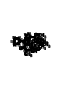 COC(OC)c1ncn2c(-c3cccnc3)c(C(=O)[C@H](C)[C@H]3NC(=O)[C@@H]3[C@@H](C)O[Si](C)(C)C(C)(C)C)sc12